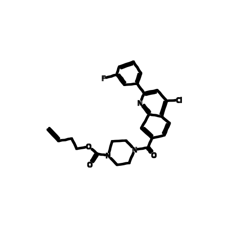 C=CCCOC(=O)N1CCN(C(=O)c2ccc3c(Cl)cc(-c4cccc(F)c4)nc3c2)CC1